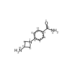 NC(=O)c1ccc(N2CC(N)C2)cc1